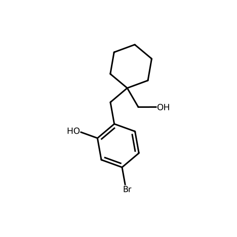 OCC1(Cc2ccc(Br)cc2O)CCCCC1